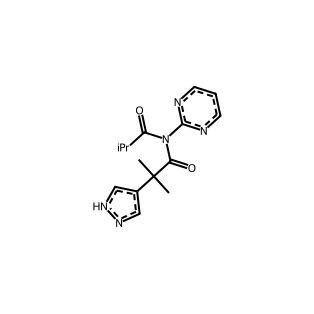 CC(C)C(=O)N(C(=O)C(C)(C)c1cn[nH]c1)c1ncccn1